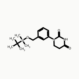 CC(C)(C)[Si](C)(C)OCc1cccc(N2CCC(=O)NC2=O)c1